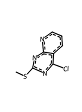 CSc1nc(Cl)c2cccnc2n1